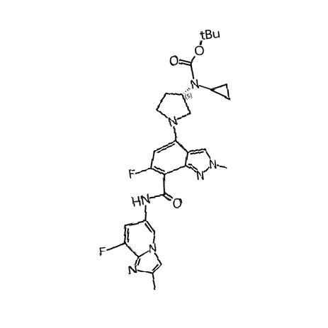 Cc1cn2cc(NC(=O)c3c(F)cc(N4CC[C@H](N(C(=O)OC(C)(C)C)C5CC5)C4)c4cn(C)nc34)cc(F)c2n1